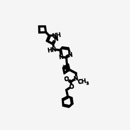 CN(CC12CC(C1)N(c1nccc(Nc3cc(C4CCC4)[nH]n3)n1)C2)C(=O)OCc1ccccc1